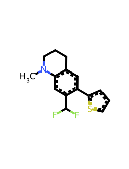 CN1CCCc2cc(-c3cccs3)c(C(F)F)cc21